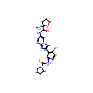 CC1(C(=O)Nc2cnc3nc(-c4cc(NC(=O)N5CCCC5)ccc4F)cn3c2)CCCO1